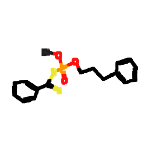 CCOP(=O)(OCCCc1ccccc1)SC(=S)c1ccccc1